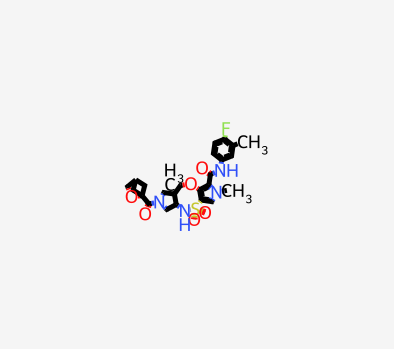 Cc1cc(NC(=O)c2c3c(cn2C)S(=O)(=O)NC2CN(C(=O)C45CC(CO4)C5)CC2(C)CO3)ccc1F